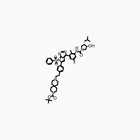 Cc1c(NC(=O)N2C[C@H](CC(C)C)[C@@H](O)C2)cc(F)cc1-c1ncnc2c1cc(-c1ccc(CCN3CCC4(CC3)CCN(C(=O)OC(C)(C)C)CC4)cc1)n2S(=O)(=O)c1ccccc1